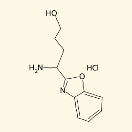 Cl.NC(CCCO)c1nc2ccccc2o1